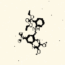 CCOP(=O)(OCC)c1ccccc1NCc1cc([N+](=O)[O-])cc2nc(OC)c(OC)nc12